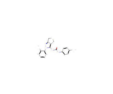 COc1ccc(NC(=O)Nc2c3c(nn2-c2ccccc2C)CSC3)cc1